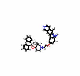 Cc1c2ccncc2cc2c3cc(OCCN4CCC(O[Si](c5ccccc5)(c5ccccc5)C(C)(C)C)CC4)ccc3n(C)c12